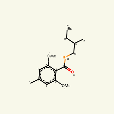 COc1cc(C)cc(OC)c1C(=O)PCC(C)CC(C)(C)C